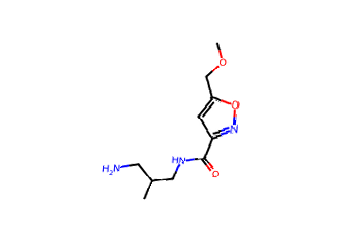 COCc1cc(C(=O)NCC(C)CN)no1